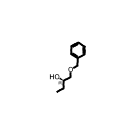 CC[C@@H](O)COCc1ccccc1